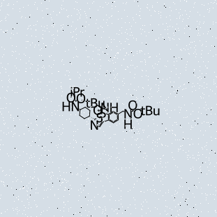 CC(C)OC(=O)N[C@H]1CC[C@H](C2=NC=C3c4ccc(CNC(=O)OC(C)(C)C)cc4S(=O)(NC(C)(C)C)=S32)CC1